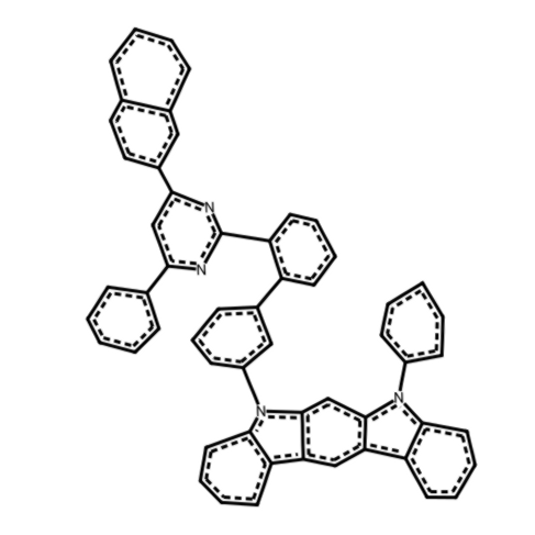 c1ccc(-c2cc(-c3ccc4ccccc4c3)nc(-c3ccccc3-c3cccc(-n4c5ccccc5c5cc6c7ccccc7n(-c7ccccc7)c6cc54)c3)n2)cc1